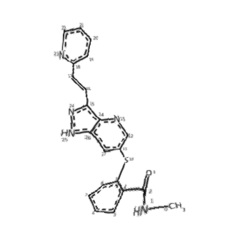 CNC(=O)c1ccccc1Sc1cnc2c(/C=C/c3ccccn3)n[nH]c2c1